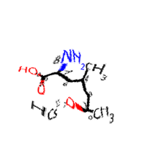 CC(=O)CC(C)C[C@H](N)C(=O)O.[CsH]